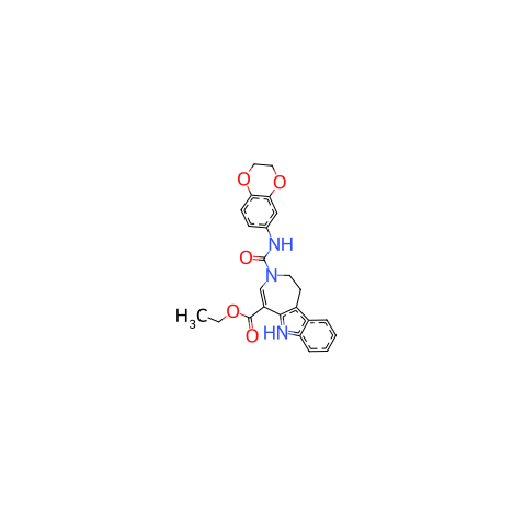 CCOC(=O)C1=CN(C(=O)Nc2ccc3c(c2)OCCO3)CCc2c1[nH]c1ccccc21